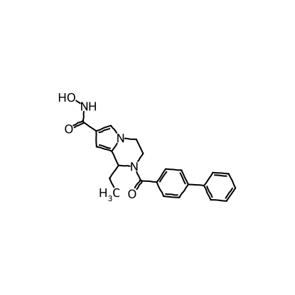 CCC1c2cc(C(=O)NO)cn2CCN1C(=O)c1ccc(-c2ccccc2)cc1